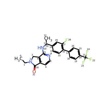 CCN1Cc2c(ccnc2N[C@@H](C)c2ccc(-c3ccc(C(F)(F)F)cc3)c(F)c2)C1=O